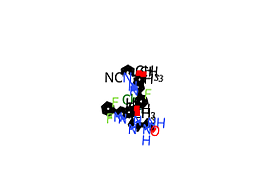 CC1(C)[C@@H]2c3cc(-c4c(F)cccc4F)nnc3[C@@]1(c1cncc(-c3c[nH]c(=O)[nH]3)n1)CC2c1ccc(F)c(-c2cc3c(nn2)[C@@]2(c4cccc(C#N)n4)CC[C@@H]3C2(C)C)c1Cl